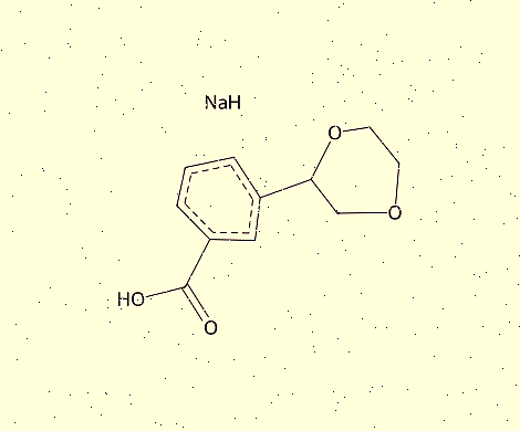 O=C(O)c1cccc(C2COCCO2)c1.[NaH]